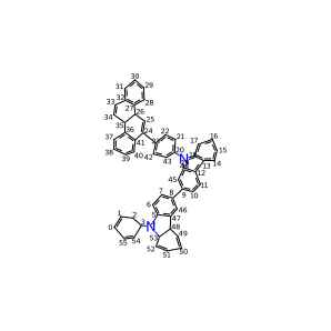 C1=CCC(N2c3ccc(-c4ccc5c6ccccc6n(-c6ccc(C7=CC8c9ccccc9C=CC8c8ccccc87)cc6)c5c4)cc3C3C=CC=CC32)C=C1